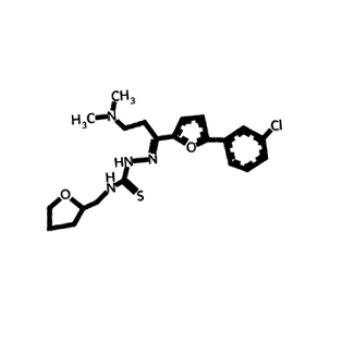 CN(C)CCC(=NNC(=S)NCC1CCCO1)c1ccc(-c2cccc(Cl)c2)o1